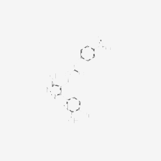 Cc1nc(-c2nnn(C)c2COC(=O)Oc2ccc([N+](=O)[O-])cc2)ccc1Br